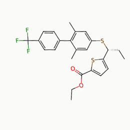 CCOC(=O)c1ccc([C@@H](CC)Sc2cc(C)c(-c3ccc(C(F)(F)F)cc3)c(C)c2)s1